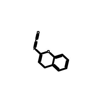 O=C=NC1=CCc2ccccc2O1